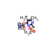 Cc1nc(CS(C)(=O)=O)nc(OC(=O)N(C)C)c1C